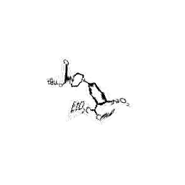 CCOC(=O)C(C#N)c1cc(N2CCN(C(=O)OC(C)(C)C)CC2)ccc1[N+](=O)[O-]